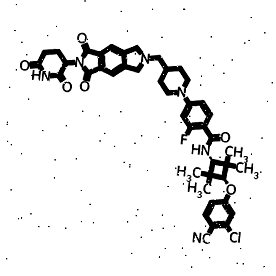 CC1(C)[C@H](NC(=O)c2ccc(N3CCC(CN4Cc5cc6c(cc5C4)C(=O)N(C4CCC(=O)NC4=O)C6=O)CC3)cc2F)C(C)(C)[C@H]1Oc1ccc(C#N)c(Cl)c1